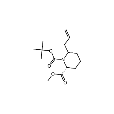 C=CCC1CCC[C@H](C(=O)OC)N1C(=O)OC(C)(C)C